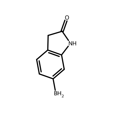 Bc1ccc2c(c1)NC(=O)C2